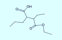 CCCC(C(=O)O)C(CC)C(=O)OCC